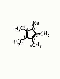 CC1=C(C)[CH]([Na])C(C)=C1C